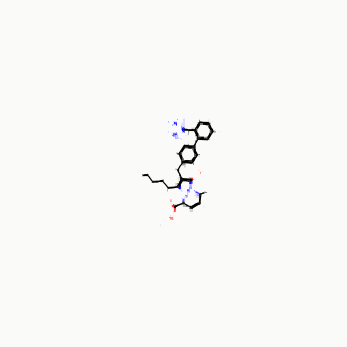 CCCCCc1c(Cc2ccc(-c3ccccc3-c3nnn[nH]3)cc2)c(=O)n2n1C(C(=O)OC)C=CC2C